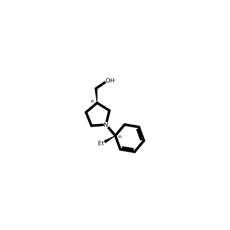 CC[C@]1(N2CC[C@@H](CO)C2)C=CC=CC1